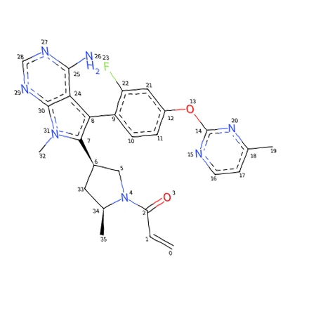 C=CC(=O)N1C[C@H](c2c(-c3ccc(Oc4nccc(C)n4)cc3F)c3c(N)ncnc3n2C)C[C@@H]1C